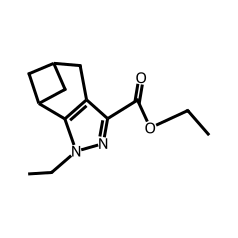 CCOC(=O)c1nn(CC)c2c1CC1CC2C1